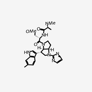 CN[C@@H](C)C(=O)N[C@@H](COC)C(=O)N1CC[C@@H]2[C@H]1[C@@H](c1c[nH]c3cc(C)ccc13)CN2c1ncccn1